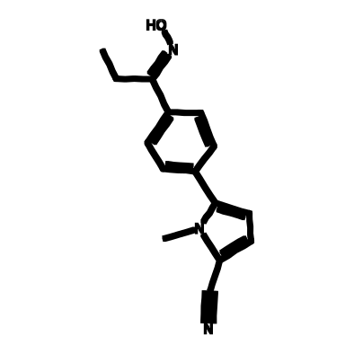 CC/C(=N\O)c1ccc(-c2ccc(C#N)n2C)cc1